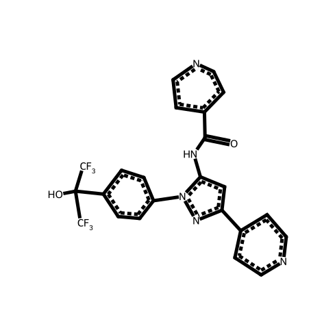 O=C(Nc1cc(-c2ccncc2)nn1-c1ccc(C(O)(C(F)(F)F)C(F)(F)F)cc1)c1ccncc1